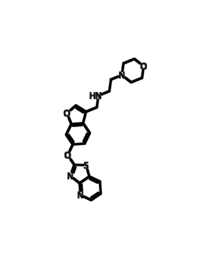 c1cnc2nc(Oc3ccc4c(CNCCN5CCOCC5)coc4c3)sc2c1